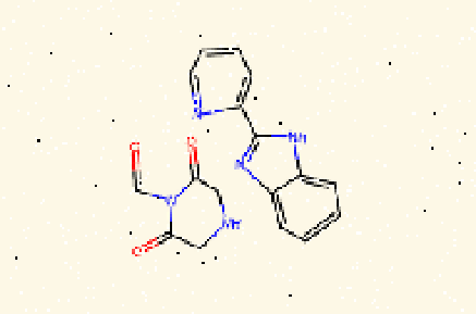 O=CN1C(=O)CNCC1=O.c1ccc(-c2nc3ccccc3[nH]2)nc1